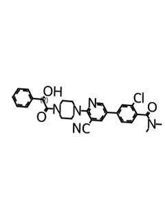 CN(C)C(=O)c1ccc(-c2cnc(N3CCN(C(=O)[C@H](O)c4ccccc4)CC3)c(C#N)c2)cc1Cl